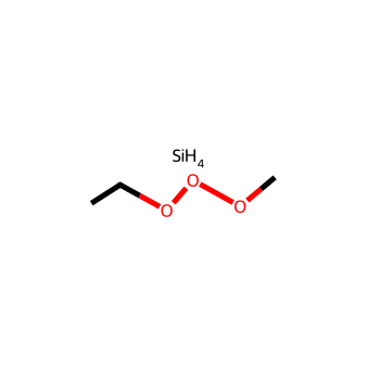 CCOOOC.[SiH4]